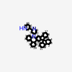 CC1C=CC=CC1C1(C2=CC=CCC2)c2ccccc2-c2cc3c(cc21)-c1ccccc1-c1ccccc1N3c1ccnc(C2=CC=CNC2)c1